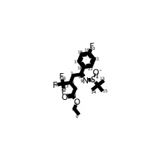 CCOC(=O)CC(CC(=N[S@+]([O-])C(C)(C)C)c1ccc(F)cc1)C(F)(F)F